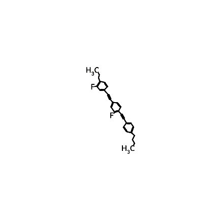 CCCCc1ccc(C#Cc2ccc(C#Cc3ccc(CCC)c(F)c3)cc2F)cc1